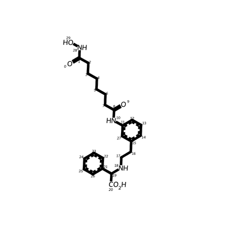 O=C(CCCCCCC(=O)Nc1cccc(CCNC(C(=O)O)c2ccccc2)c1)NO